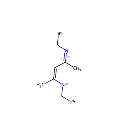 C/C(=C/C(C)=N\CC(C)C)NCC(C)C